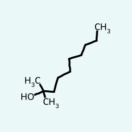 CCCCCCCCC(C)(C)O